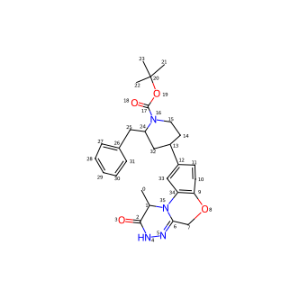 CC1C(=O)NN=C2COc3ccc(C4CCN(C(=O)OC(C)(C)C)C(Cc5ccccc5)C4)cc3N21